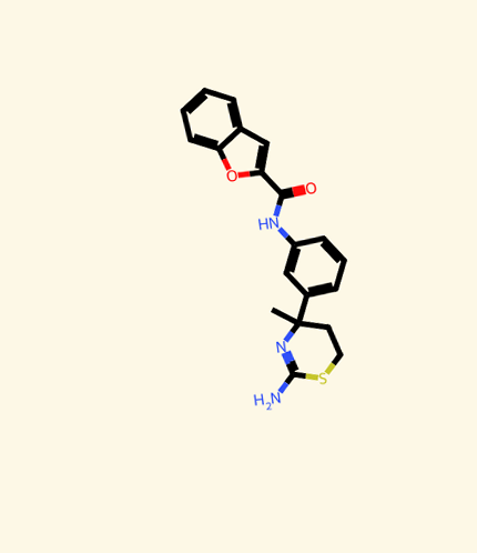 CC1(c2cccc(NC(=O)c3cc4ccccc4o3)c2)CCSC(N)=N1